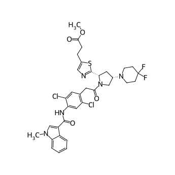 COC(=O)CCc1cnc([C@@H]2C[C@H](N3CCC(F)(F)CC3)CN2C(=O)Cc2cc(Cl)c(NC(=O)c3cn(C)c4ccccc34)cc2Cl)s1